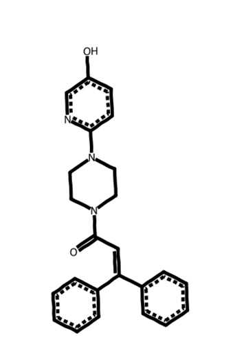 O=C(C=C(c1ccccc1)c1ccccc1)N1CCN(c2ccc(O)cn2)CC1